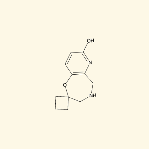 Oc1ccc2c(n1)CNCC1(CCC1)O2